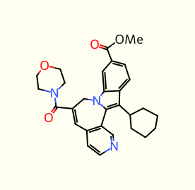 COC(=O)c1ccc2c(C3CCCCC3)c3n(c2c1)CC(C(=O)N1CCOCC1)=Cc1ccncc1-3